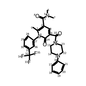 Cc1c(C(=O)N(C)C)cc(C(=O)N2CCN(c3ccccc3)CC2)c(=O)n1-c1cccc(C(F)(F)F)c1